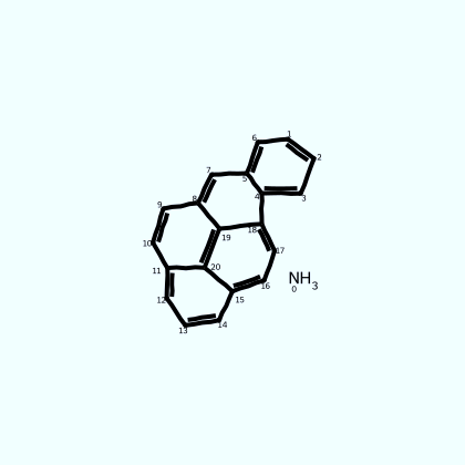 N.c1ccc2c(c1)cc1ccc3cccc4ccc2c1c34